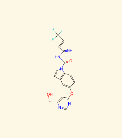 N=C(/C=C/C(F)(F)F)NC(=O)n1ccc2cc(Oc3cc(CO)ncn3)ccc21